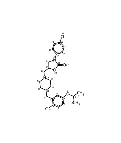 CC(C)Oc1ccc(Cl)c(CC2CCN(CC3CN(c4ccc(Cl)cc4)C(=O)O3)CC2)c1